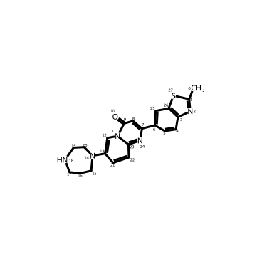 Cc1nc2ccc(-c3cc(=O)n4cc(N5CCCNCC5)ccc4n3)cc2s1